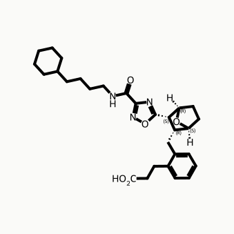 O=C(O)CCc1ccccc1C[C@@H]1[C@H](c2nc(C(=O)NCCCCC3CCCCC3)no2)[C@H]2CC[C@@H]1O2